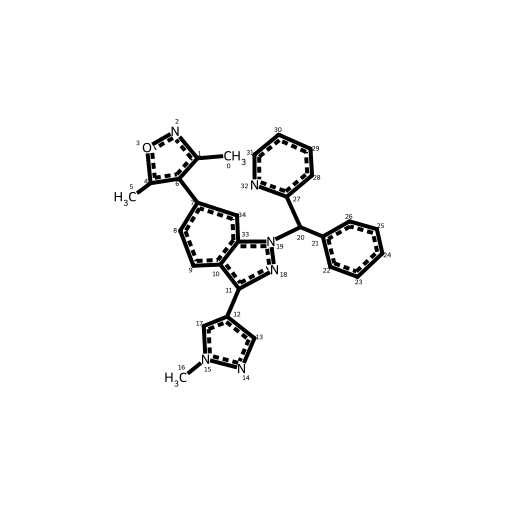 Cc1noc(C)c1-c1ccc2c(-c3cnn(C)c3)nn(C(c3ccccc3)c3ccccn3)c2c1